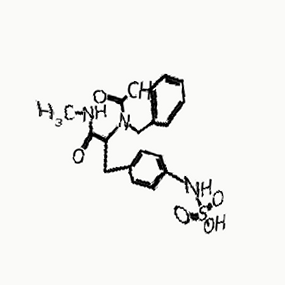 CNC(=O)C(Cc1ccc(NS(=O)(=O)O)cc1)N(Cc1ccccc1)C(C)=O